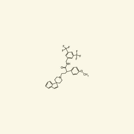 COc1ccc(C(CCN2CCC3(C=Cc4ccccc43)CC2)C(=O)NCc2cc(C(F)(F)F)cc(C(F)(F)F)c2)cc1